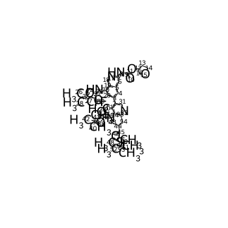 Cc1c(-c2cc3cc(NC(=O)OC4CCOC4)ncc3c(NC(=O)OC(C)(C)C)c2F)cnc2c1N(C(=O)OC(C)(C)C)CC(CO[Si](C)(C)C(C)(C)C)C2